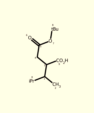 CC(C)C(C)C(CC(=O)OC(C)(C)C)C(=O)O